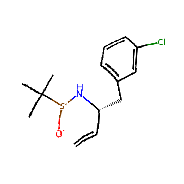 C=C[C@@H](Cc1cccc(Cl)c1)N[S+]([O-])C(C)(C)C